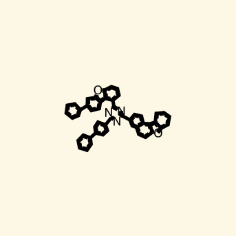 c1ccc(-c2ccc(-c3nc(-c4ccc5c(ccc6oc7ccccc7c65)c4)nc(-c4cccc5oc6cc(-c7ccccc7)ccc6c45)n3)cc2)cc1